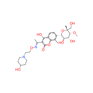 CO[C@@H]1[C@H](O)[C@@H](O)[C@H](c2ccc3c(O)c(C(C)=NOCCN4CCC(O)CC4)c(=O)oc3c2C)O[C@]1(C)CO